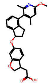 COc1cc(C)c(-c2cccc3c2CC[C@H]3Oc2ccc3c(c2)OCC3CC(=O)O)c(C)n1